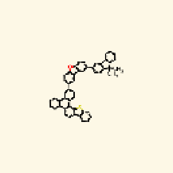 CC1(C)c2ccccc2-c2cc(-c3ccc4oc5ccc(-c6ccc7c(c6)c6ccccc6c6ccc8c9ccccc9sc8c67)cc5c4c3)ccc21